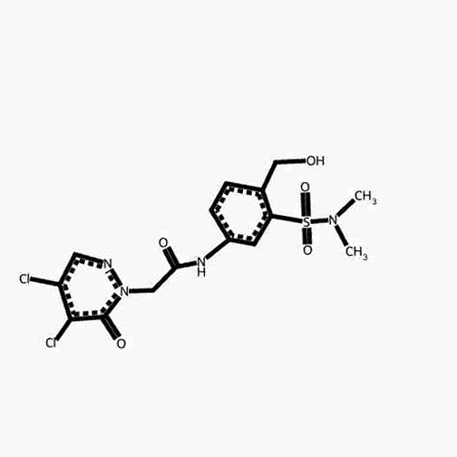 CN(C)S(=O)(=O)c1cc(NC(=O)Cn2ncc(Cl)c(Cl)c2=O)ccc1CO